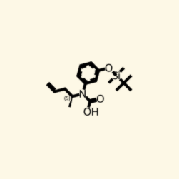 C=CC[C@H](C)N(C(=O)O)c1cccc(O[Si](C)(C)C(C)(C)C)c1